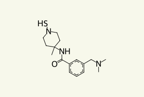 CN(C)Cc1cccc(C(=O)NC2(C)CCN(S)CC2)c1